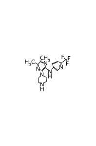 Cc1nc(Nc2ccc(C(F)(F)F)nc2)c(N2CCNCC2)nc1C